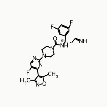 Cc1noc(C)c1-c1nc(N2CCN(C(=O)N[C@@H](CC=N)c3cc(F)cc(F)c3)CC2)ncc1F